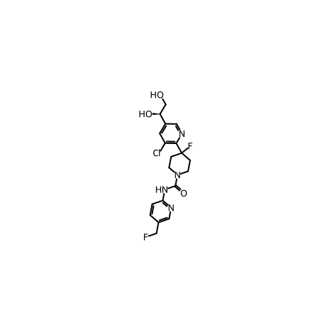 O=C(Nc1ccc(CF)cn1)N1CCC(F)(c2ncc([C@@H](O)CO)cc2Cl)CC1